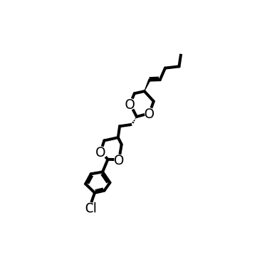 CCC/C=C/[C@H]1CO[C@H](CCC2COC(c3ccc(Cl)cc3)OC2)OC1